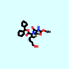 CC(C)(C)OC(=O)N[C@@H]1C(=O)N2C(C(=O)OC(c3ccccc3)c3ccccc3)=C(/C=C\CCO)CS[C@@H]12